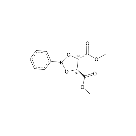 COC(=O)[C@H]1OB(c2ccccc2)O[C@@H]1C(=O)OC